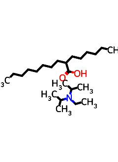 CCCCCCCCC(CCCCCC)C(=O)O.CCN(C(C)C)C(C)C